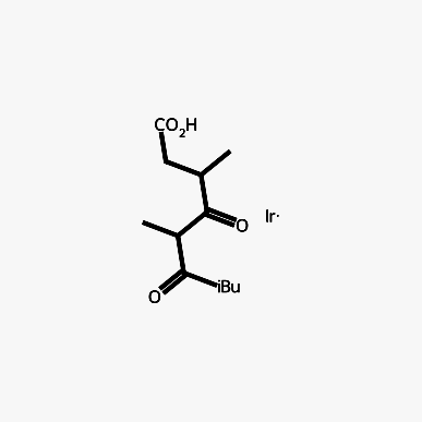 CCC(C)C(=O)C(C)C(=O)C(C)CC(=O)O.[Ir]